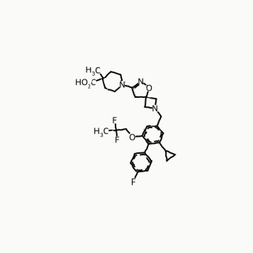 CC(F)(F)COc1cc(CN2CC3(CC(N4CCC(C)(C(=O)O)CC4)=NO3)C2)cc(C2CC2)c1-c1ccc(F)cc1